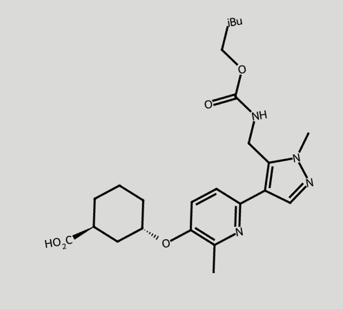 CCC(C)COC(=O)NCc1c(-c2ccc(O[C@H]3CCC[C@H](C(=O)O)C3)c(C)n2)cnn1C